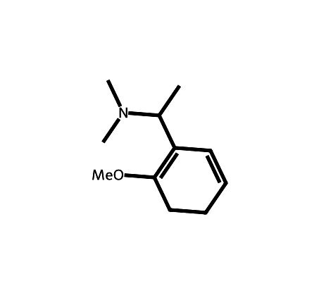 COC1=C(C(C)N(C)C)C=CCC1